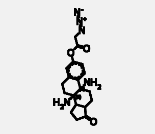 [N-]=[N+]=NCC(=O)Oc1ccc2c(c1)CC[C@@]1(N)C3CCC(=O)C3CC[C@]21N